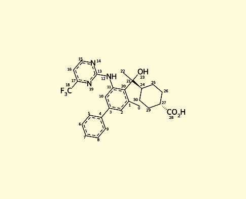 Cc1cc(-c2ccccc2)cc(Nc2nccc(C(F)(F)F)n2)c1C(C)(O)[C@H]1CC[C@H](C(=O)O)CC1